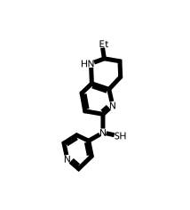 CCC1CCc2nc(N(S)c3ccncc3)ccc2N1